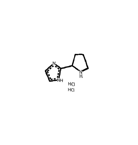 Cl.Cl.c1c[nH]c(C2CCCN2)n1